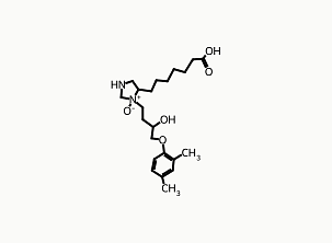 Cc1ccc(OCC(O)CC[N+]2([O-])CNCC2CCCCCCC(=O)O)c(C)c1